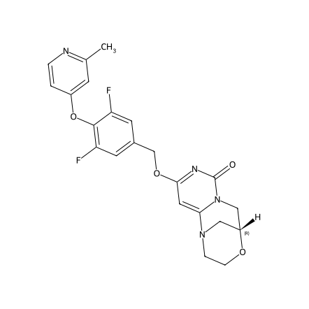 Cc1cc(Oc2c(F)cc(COc3cc4n(c(=O)n3)C[C@H]3CN4CCO3)cc2F)ccn1